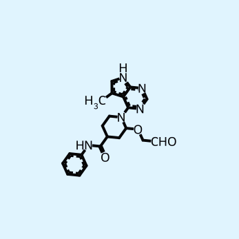 Cc1c[nH]c2ncnc(N3CCC(C(=O)Nc4ccccc4)CC3OCC=O)c12